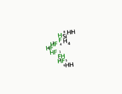 F.F.F.F.F.F.[HH].[HH].[SiH4]